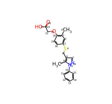 Cc1cc(SCc2cnn(-c3ccccc3)c2C)ccc1OCC(=O)O